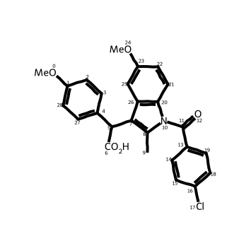 COc1ccc(C(C(=O)O)c2c(C)n(C(=O)c3ccc(Cl)cc3)c3ccc(OC)cc23)cc1